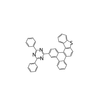 c1ccc(-c2nc(-c3ccccc3)nc(-c3ccc4c(c3)c3ccccc3c3ccc5sc6ccccc6c5c34)n2)cc1